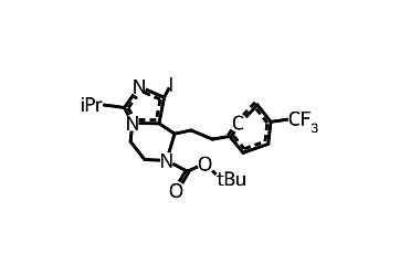 CC(C)c1nc(I)c2n1CCN(C(=O)OC(C)(C)C)C2CCc1ccc(C(F)(F)F)cc1